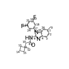 Cc1ccc2nc(NC(=O)CC3(C)CCC3)n(-c3cc(F)cc(F)c3)c2c1